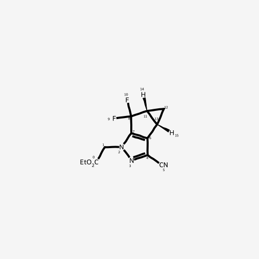 CCOC(=O)Cn1nc(C#N)c2c1C(F)(F)[C@@H]1C[C@H]21